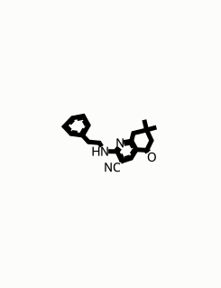 CC1(C)CC(=O)c2cc(C#N)c(NCCc3ccccc3)nc2C1